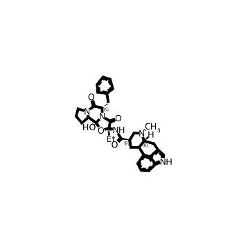 CC[C@@]1(NC(=O)[C@@H]2CC3c4cccc5[nH]cc(c45)C[C@H]3N(C)C2)O[C@@]2(O)C3CCCN3C(=O)[C@H](Cc3ccccc3)N2C1=O